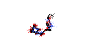 CCC(=O)NCCNC(=O)/N=C(/N)NCCC[C@@H](NC(=O)[C@@H](c1ccccc1)c1ccc(OCCCNc2c(NCCNC(C=O)N3CCN(CC(=O)O)CCN(CC(=O)O)CCN(CC(=O)O)CC3)c(=O)c2=O)cc1)C(=O)NCc1ccc(O)cc1